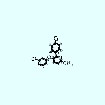 Cc1ccc(Oc2ccnc(Cl)c2)c(-c2ccc(Cl)cc2)n1